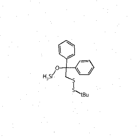 CC(C)(C)SSCC(O[SiH3])(c1ccccc1)c1ccccc1